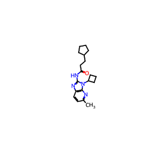 Cc1ccc2nc(NC(=O)CCC3CCCC3)n(C3CCC3)c2n1